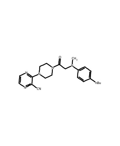 CCCCc1ccc(N(C)CC(=O)N2CCN(c3nccnc3C#N)CC2)cc1